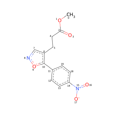 COC(=O)CCc1cnoc1-c1ccc([N+](=O)[O-])cc1